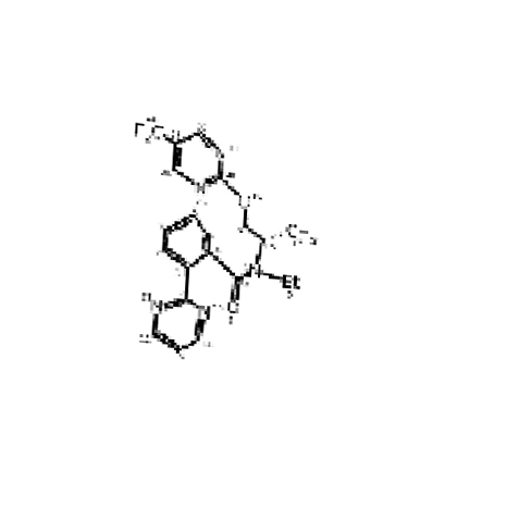 CCN(C(=O)c1ccccc1-c1ncccn1)[C@@H](C)COc1ncc(C(F)(F)F)cn1